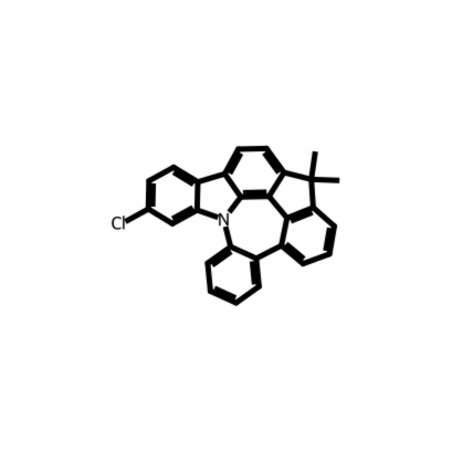 CC1(C)c2cccc3c2-c2c1ccc1c4ccc(Cl)cc4n(c21)-c1ccccc1-3